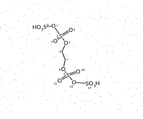 O=S(=O)(O)OS(=O)(=O)OCCOS(=O)(=O)OS(=O)(=O)O